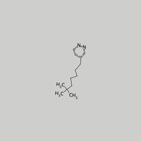 CC(C)(C)CCCCCc1ccnnc1